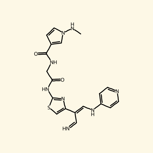 CNn1ccc(C(=O)NCC(=O)Nc2nc(/C(C=N)=C/Nc3ccncc3)cs2)c1